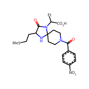 CCC(C(=O)O)N1C(=O)C(CCSC)NC12CCN(C(=O)c1ccc([N+](=O)[O-])cc1)CC2